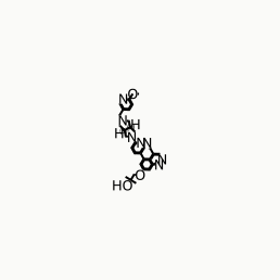 COc1ccc(CN2C[C@@H]3CN(c4ccc(-c5cc(OCC(C)(C)O)cc6nncc(C#N)c56)cn4)C[C@@H]3C2)cn1